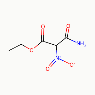 CCOC(=O)C(C(N)=O)[N+](=O)[O-]